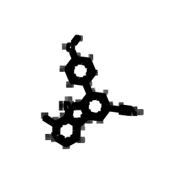 COc1ccc(-c2cc(C#N)cc3c2[nH]c2c(C)nccc23)cc1